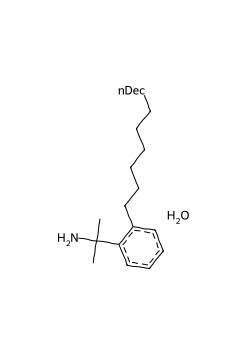 CCCCCCCCCCCCCCCCc1ccccc1C(C)(C)N.O